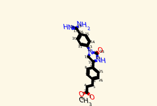 COC(=O)CCc1ccc(C2CN(c3ccc(C(=N)N)cc3)C(=O)N2)cc1